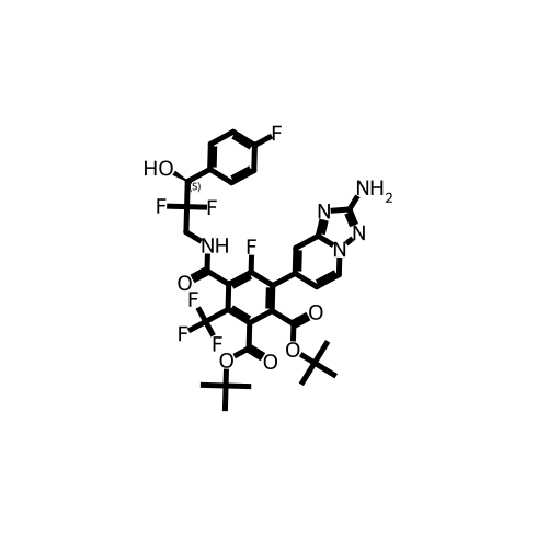 CC(C)(C)OC(=O)c1c(C(=O)OC(C)(C)C)c(C(F)(F)F)c(C(=O)NCC(F)(F)[C@@H](O)c2ccc(F)cc2)c(F)c1-c1ccn2nc(N)nc2c1